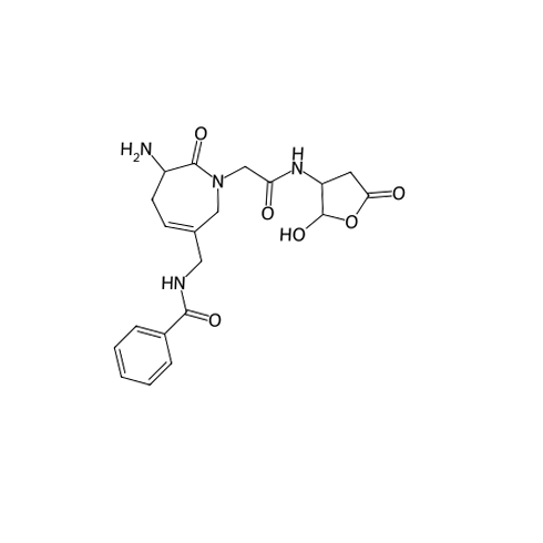 NC1CC=C(CNC(=O)c2ccccc2)CN(CC(=O)NC2CC(=O)OC2O)C1=O